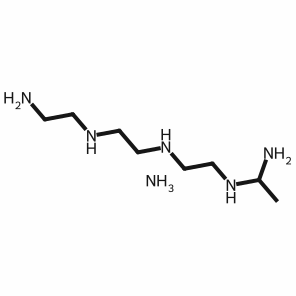 CC(N)NCCNCCNCCN.N